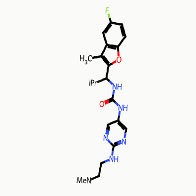 CNCCNc1ncc(NC(=O)NC(c2oc3ccc(F)cc3c2C)C(C)C)cn1